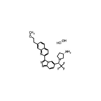 COCCc1ccc2ccc(-c3nnc4ccc([C@@H](N5CC[C@H](N)C5)C(F)(F)F)cn34)nc2c1.Cl.Cl